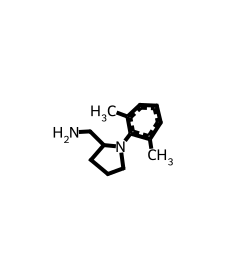 Cc1cccc(C)c1N1CCCC1CN